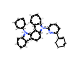 C1=CCCC(c2cccc(-n3c4ccccc4c4c3ccc3c5ccccc5n(-c5ccccc5)c34)n2)=C1